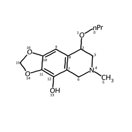 CCCOC1CN(C)Cc2c1cc1c(c2O)OCO1